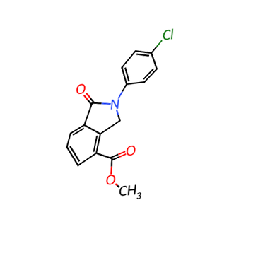 COC(=O)c1cccc2c1CN(c1ccc(Cl)cc1)C2=O